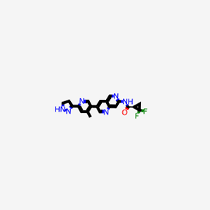 Cc1cc(C2=NNCC2)ncc1-c1cnc2cc(NC(=O)[C@H]3CC3(F)F)ncc2c1